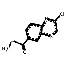 COC(=O)c1ccc2nc(Cl)cnc2c1